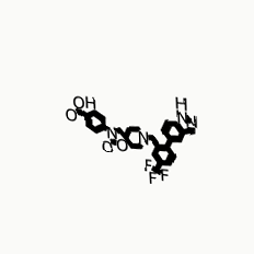 O=C(O)c1ccc(N2CC3(CCN(Cc4cc(C(F)(F)F)ccc4-c4ccc5[nH]ncc5c4)CC3)OC2=O)cc1